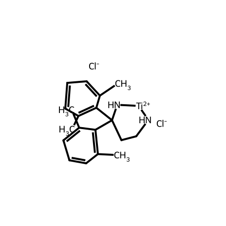 Cc1cccc(C)c1C1(c2c(C)cccc2C)CC[NH][Ti+2][NH]1.[Cl-].[Cl-]